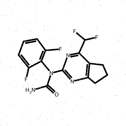 NC(=O)N(c1nc2c(c(C(F)F)n1)CCC2)c1c(F)cccc1F